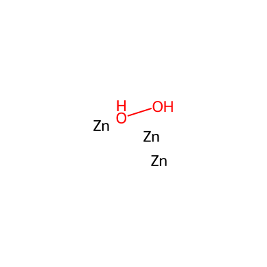 OO.[Zn].[Zn].[Zn]